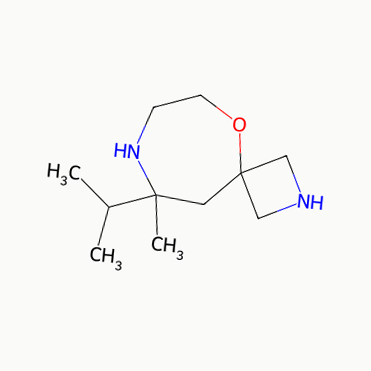 CC(C)C1(C)CC2(CNC2)OCCN1